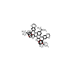 CC(C)c1cc2c3c(c1)N(c1cc4c(cc1-c1ccccc1)OCCO4)c1c(oc4ccc(C(C)(C)C)cc14)B3c1oc3ccc(C(C)(C)C)cc3c1N2c1cc2c(cc1-c1ccccc1)OCCO2